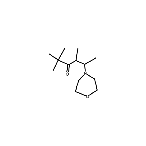 CC(C(=O)C(C)(C)C)C(C)N1CCOCC1